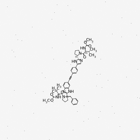 COC(=O)N[C@H](C(=O)N1CCC[C@H]1c1ncc(-c2ccc(C#Cc3ccc4nc([C@]5(Cc6ccccc6)CCCN5C(=O)[C@@H](NC(=O)OC)C(C)C)[nH]c4c3)cc2)[nH]1)C(C)C